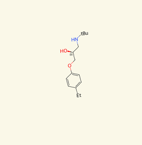 [CH2]Cc1ccc(OC[C@@H](O)CNC(C)(C)C)cc1